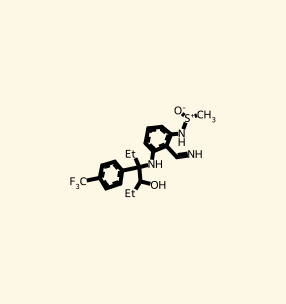 CCC(O)C(CC)(Nc1cccc(N[S+](C)[O-])c1C=N)c1ccc(C(F)(F)F)cc1